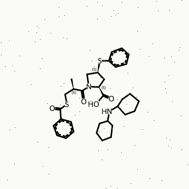 C1CCC(NC2CCCCC2)CC1.C[C@H](CSC(=O)c1ccccc1)C(=O)N1C[C@@H](Sc2ccccc2)C[C@H]1C(=O)O